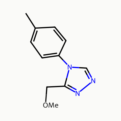 COCc1nncn1-c1ccc(C)cc1